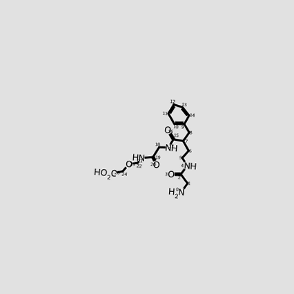 NCC(=O)NCCC(Cc1ccccc1)C(=O)NCC(=O)NCOCC(=O)O